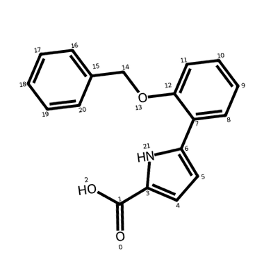 O=C(O)c1ccc(-c2ccccc2OCc2ccccc2)[nH]1